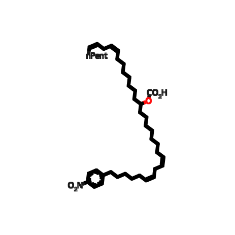 CCCCC/C=C\C/C=C\CCCCCCCC(CCCCCCC/C=C\C/C=C\CCCCCc1ccc([N+](=O)[O-])cc1)OC(=O)O